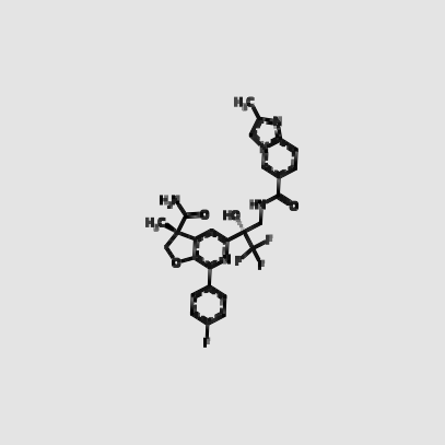 Cc1cn2cc(C(=O)NC[C@](O)(c3cc4c(c(-c5ccc(F)cc5)n3)OC[C@]4(C)C(N)=O)C(F)(F)F)ccc2n1